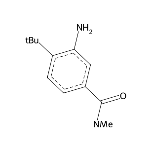 CNC(=O)c1ccc(C(C)(C)C)c(N)c1